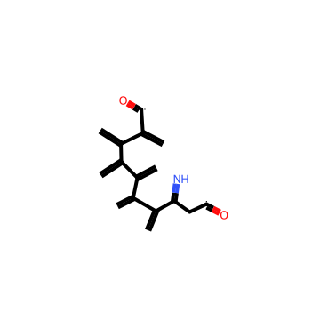 C=C([C]=O)C(=C)C(=C)C(=C)C(=C)C(=C)C(=N)C[C]=O